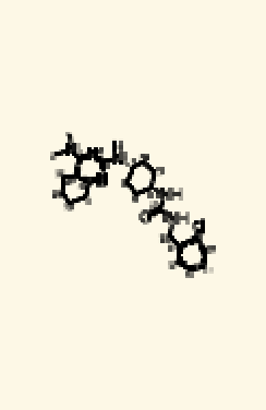 CN(C)c1nc(N[C@H]2CC[C@@H](NC(=O)NCc3ccccc3Cl)CC2)nc2c1CCCC2